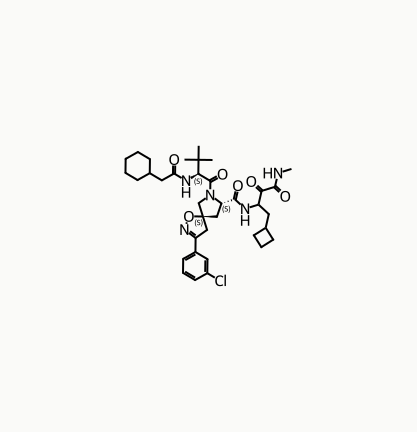 CNC(=O)C(=O)C(CC1CCC1)NC(=O)[C@@H]1C[C@]2(CC(c3cccc(Cl)c3)=NO2)CN1C(=O)[C@@H](NC(=O)CC1CCCCC1)C(C)(C)C